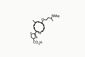 CNC(C)CCOc1cccnc(C2=NC(C(=O)O)CS2)ccc(C)c1